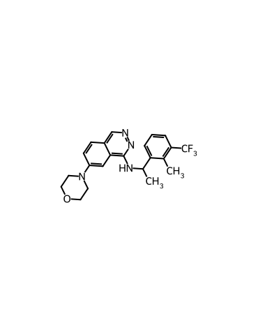 Cc1c(C(C)Nc2nncc3ccc(N4CCOCC4)cc23)cccc1C(F)(F)F